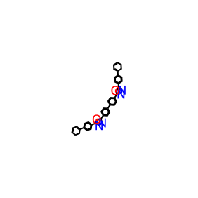 C1=CCCC(c2ccc(-c3nnc(-c4ccc(-c5ccc(-c6nnc(-c7ccc(C8=CC=CCC8)cc7)o6)cc5)cc4)o3)cc2)=C1